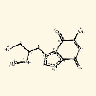 NC1=CC(=O)c2[nH]cc(CC(CO)NP)c2C1=O